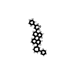 C1=CC(c2ccccc2)=CC(c2ccc3c4cccc5c4c(c4cccc2c43)=CCC5c2cncc(-c3ccccc3)c2)=CC1